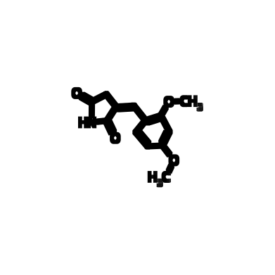 COc1ccc(C=C2CC(=O)NC2=O)c(OC)c1